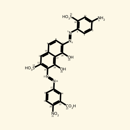 Nc1ccc(/N=N/c2ccc3cc(S(=O)(=O)O)c(/N=N/c4ccc([N+](=O)[O-])c(C(=O)O)c4)c(O)c3c2O)c(S(=O)(=O)O)c1